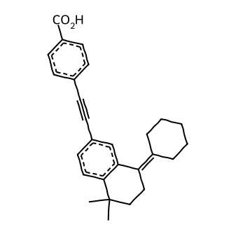 CC1(C)CCC(=C2CCCCC2)c2cc(C#Cc3ccc(C(=O)O)cc3)ccc21